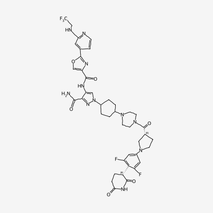 NC(=O)c1nn(C2CCC(N3CCN(C(=O)[C@@H]4CCN(c5cc(F)c([C@H]6CCC(=O)NC6=O)c(F)c5)C4)CC3)CC2)cc1NC(=O)c1coc(-c2ccnc(NCC(F)(F)F)c2)n1